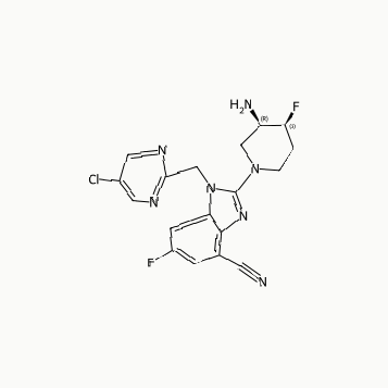 N#Cc1cc(F)cc2c1nc(N1CC[C@H](F)[C@H](N)C1)n2Cc1ncc(Cl)cn1